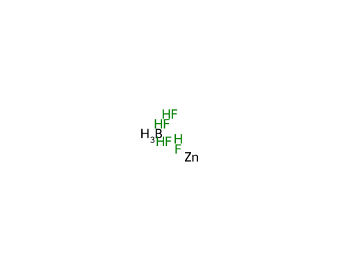 B.F.F.F.F.[Zn]